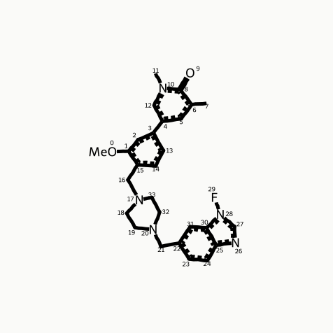 COc1cc(-c2cc(C)c(=O)n(C)c2)ccc1CN1CCN(Cc2ccc3ncn(F)c3c2)CC1